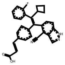 N#Cc1c(/C(=C(/c2ccccc2F)C2CCC2)c2ccc(/C=C/C(=O)O)cc2)ccc2[nH]ncc12